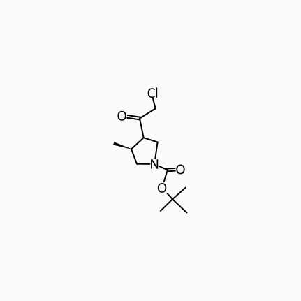 C[C@@H]1CN(C(=O)OC(C)(C)C)CC1C(=O)CCl